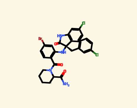 NC(=O)C1[CH]CCCN1C(=O)c1ccc(Br)cc1N[C@]1(Cc2cccc(Cl)c2)C(=O)Nc2cc(Cl)ccc21